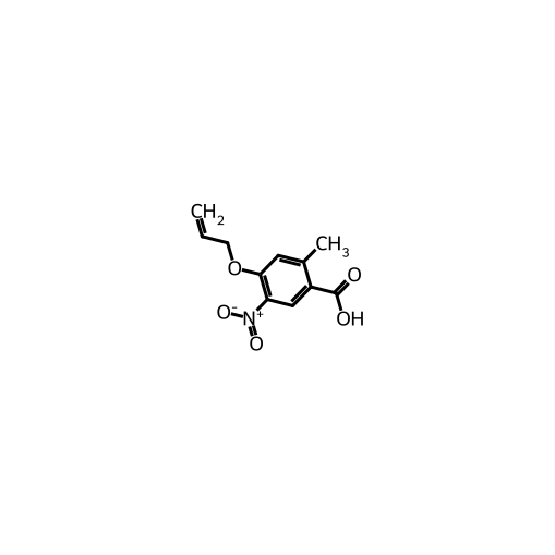 C=CCOc1cc(C)c(C(=O)O)cc1[N+](=O)[O-]